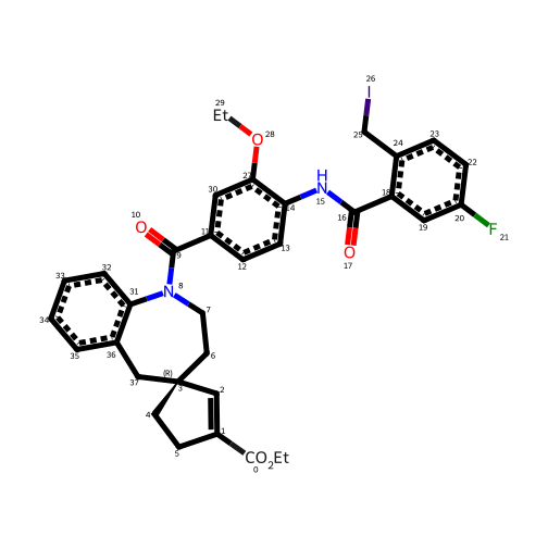 CCOC(=O)C1=C[C@@]2(CC1)CCN(C(=O)c1ccc(NC(=O)c3cc(F)ccc3CI)c(OCC)c1)c1ccccc1C2